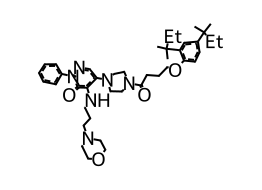 CCC(C)(C)c1ccc(OCCCC(=O)N2CCN(c3cnn(-c4ccccc4)c(=O)c3NCCCN3CCOCC3)CC2)c(C(C)(C)CC)c1